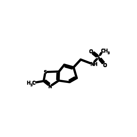 Cc1nc2ccc(CNS(C)(=O)=O)cc2s1